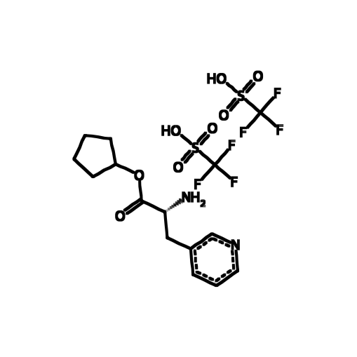 N[C@H](Cc1cccnc1)C(=O)OC1CCCC1.O=S(=O)(O)C(F)(F)F.O=S(=O)(O)C(F)(F)F